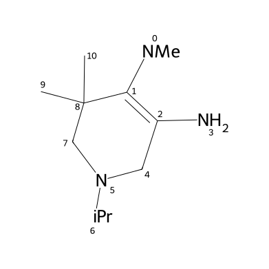 CNC1=C(N)CN(C(C)C)CC1(C)C